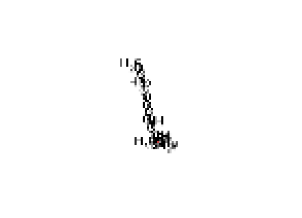 [CH2]COCCOCCNC(=O)CCOCCOCCOCCOCCC(=O)NCCOCCOC[C](C(C)(C)C)C(C)(C)C